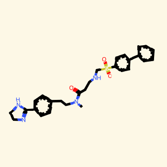 CN(CCc1ccc(C2=NCCN2)cc1)C(=O)CCNCS(=O)(=O)c1ccc(-c2ccccc2)cc1